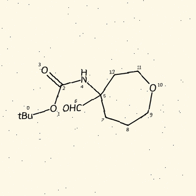 CC(C)(C)OC(=O)NC1(C=O)CCCOCC1